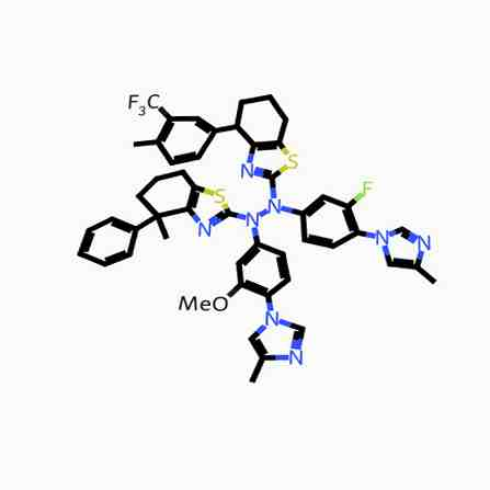 COc1cc(N(c2nc3c(s2)CCCC3(C)c2ccccc2)N(c2ccc(-n3cnc(C)c3)c(F)c2)c2nc3c(s2)CCCC3c2ccc(C)c(C(F)(F)F)c2)ccc1-n1cnc(C)c1